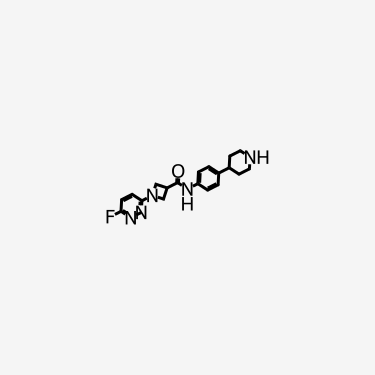 O=C(Nc1ccc(C2CCNCC2)cc1)C1CN(c2ccc(F)nn2)C1